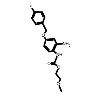 COCCOC(=O)Nc1ccc(OCc2ccc(F)cc2)cc1N